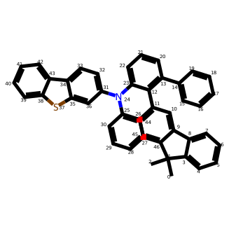 CC1(C)c2ccccc2-c2cc(-c3c(-c4ccccc4)cccc3N(c3ccccc3)c3ccc4c(c3)sc3ccccc34)ccc21